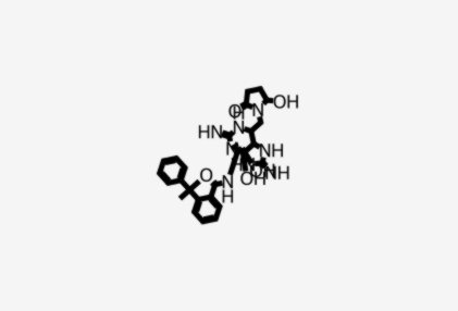 CC(C)(c1ccccc1)c1ccccc1C(=O)NC1CN2C(=N)NC(CN3C(=O)CCC3O)C3NC(=N)NC32C1(O)O